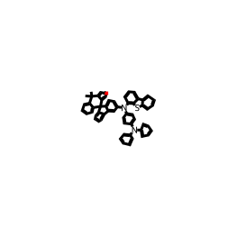 CC1(C)c2ccccc2C2(c3ccccc3-c3cc(N(c4ccc(N(c5ccccc5)c5ccccc5)cc4)c4cccc5c4sc4ccccc45)ccc32)c2ccccc21